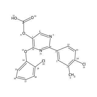 Cc1cc(-c2ncc(OC(=O)O)c(Oc3ccccc3Cl)n2)ccc1Cl